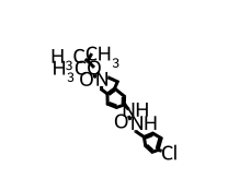 CC(C)(C)OC(=O)N1CCc2cc(NC(=O)NCc3ccc(Cl)cc3)ccc2C1